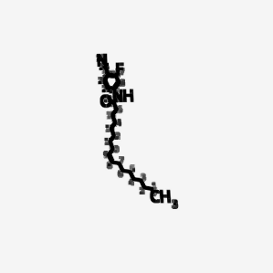 CCCCCCCC/C=C\CCCCCCCC(=O)Nc1ccc(C#N)c(F)c1